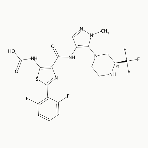 Cn1ncc(NC(=O)c2nc(-c3c(F)cccc3F)sc2NC(=O)O)c1N1CCN[C@H](C(F)(F)F)C1